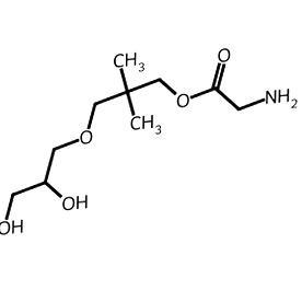 CC(C)(COCC(O)CO)COC(=O)CN